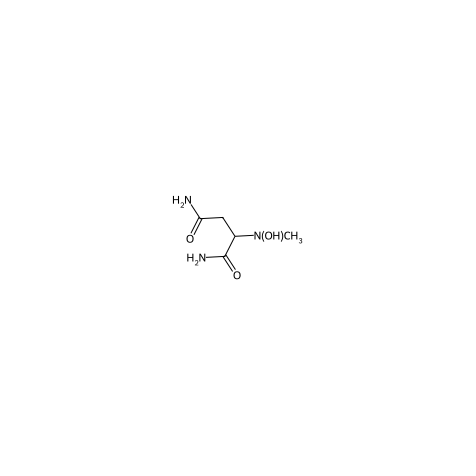 CN(O)C(CC(N)=O)C(N)=O